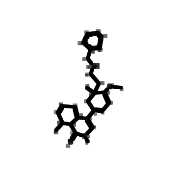 COC1=CC=C(C2=CN(C)C(=O)C3C2=CC=CC3C)CC1(C)CCNCc1ccccc1